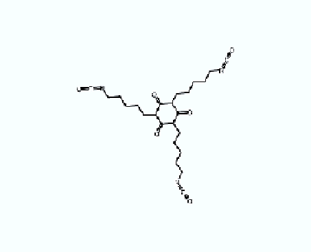 O=C=NCCCCCC1C(=O)C(CCCCCN=C=O)C(=O)C(CCCCCN=C=O)C1=O